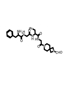 CC(C)CC(NC(=O)CNC(=O)C(N)Cc1ccccc1)C(=O)NCC(=O)N1CCC2(CC1)CN(C=O)C2